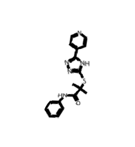 CC(C)(Sc1nnc(-c2ccncc2)[nH]1)C(=O)Nc1ccccc1